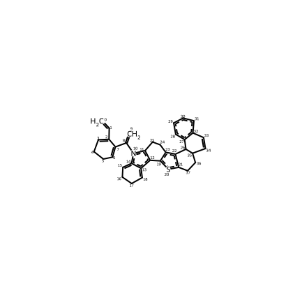 C=CC1=CCCC=C1C(=C)n1c2c(c3c1=CCCC=3)-c1sc3c(c1CC2)C1c2ccccc2C=CC1CC3